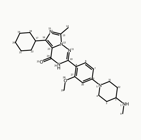 CNC1CCN(c2ccc(-c3nn4c(C)nc(C5CCCCC5)c4c(=O)[nH]3)c(OC)c2)CC1